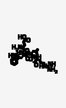 CC(C)C[C@H](NC(=O)[C@H](Cc1c[nH]c2ccccc12)NC(=O)[C@@H](N)CCC(=O)O)C(=O)N[C@H]([C]=O)CCCNC(=N)N